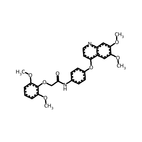 COc1cc2nccc(Oc3ccc(NC(=O)COc4c(OC)cccc4OC)cc3)c2cc1OC